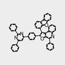 c1ccc(-c2cc(-c3ccc(-c4oc5c(-c6ccccc6)nc6ccccc6c5c4-c4cccc5c4oc4ccccc45)cc3)nc(-c3ccccc3)n2)cc1